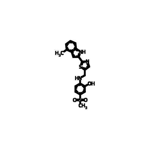 Cc1cccc2[nH]c(-c3ncc(CNc4ccc(S(C)(=O)=O)cc4O)s3)cc12